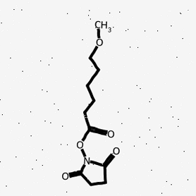 COCCCCCC(=O)ON1C(=O)CCC1=O